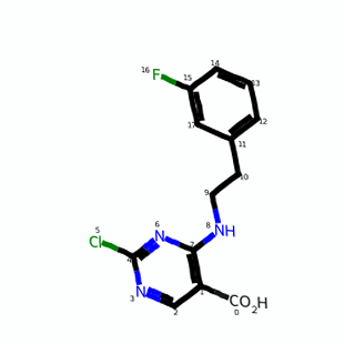 O=C(O)c1cnc(Cl)nc1NCCc1cccc(F)c1